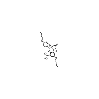 C=C1C[C@H]2[C@@H](C1)c1cc(OCCCC)cc(C(=O)OC)c1O[C@H]2C1C=CC(OCCCC)=CC1